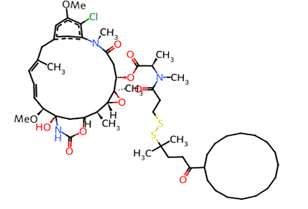 COc1cc2cc(c1Cl)N(C)C(=O)C[C@@H](OC(=O)[C@@H](C)N(C)C(=O)CCSSC(C)(C)CCC(=O)C1CCCCCCCCCCCCCCC1)[C@@]1(C)O[C@@H]1[C@@H](C)[C@H]1C[C@](O)(NC(=O)O1)[C@@H](OC)/C=C/C=C(\C)C2